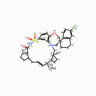 CO[C@H]1/C=C/CC2CCC[C@H]2C(=O)NS(=O)(=O)c2ccc3c(c2)N(C[C@@H]2CC[C@H]21)C[C@@]1(CCCc2cc(Cl)ccc21)CO3